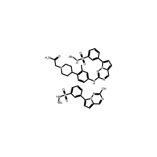 CC(C)(C)NS(=O)(=O)c1cccc(-c2ccc3cnc(O)nn23)c1.Cc1cc(Nc2ncc3ccc(-c4cccc(S(=O)(=O)NC(C)(C)C)c4)n3n2)ccc1C1CCN(CC(N)=O)CC1